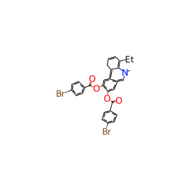 CCC1=C2C(=c3cc(OC(=O)c4ccc(Br)cc4)c(OC(=O)c4ccc(Br)cc4)cc3=CN2C)CC=C1